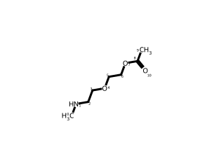 CNCCOCCOC(C)=O